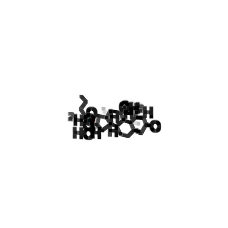 [2H]C1=C([2H])[C@@]2(C)C(=CC1=O)CC[C@@H]1[C@@H]2[C@@H](O)C[C@@]2(C)[C@H]1C[C@H]1OC([2H])(CCC)O[C@]12C(=O)CO